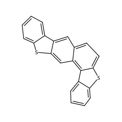 c1ccc2c(c1)sc1cc3c(ccc4sc5ccccc5c43)cc12